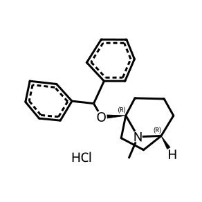 CN1[C@@H]2CCC[C@@]1(OC(c1ccccc1)c1ccccc1)CC2.Cl